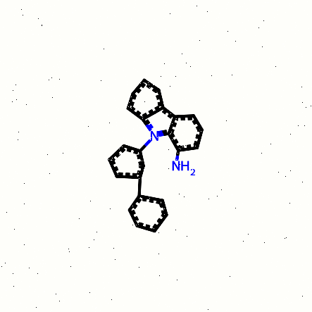 Nc1cccc2c3ccccc3n(-c3cccc(-c4ccccc4)c3)c12